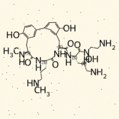 CNCCC[C@@H]1NC(=O)[C@@H](NC)Cc2cc(ccc2O)-c2ccc(O)c(c2)C[C@@H](C(=O)N[C@@H](C[C@@H](O)CN)C(=O)NCCN)NC1=O